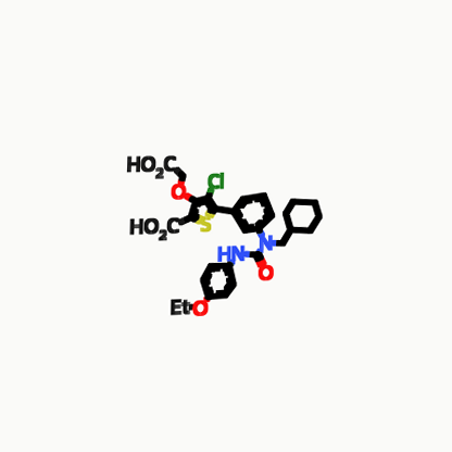 CCOc1ccc(NC(=O)N(CC2CCCCC2)c2cccc(-c3sc(C(=O)O)c(OCC(=O)O)c3Cl)c2)cc1